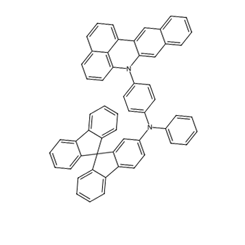 c1ccc(N(c2ccc(N3c4cc5ccccc5cc4-c4cccc5cccc3c45)cc2)c2ccc3c(c2)C2(c4ccccc4-c4ccccc42)c2ccccc2-3)cc1